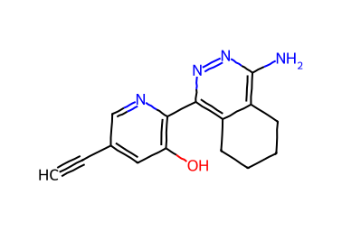 C#Cc1cnc(-c2nnc(N)c3c2CCCC3)c(O)c1